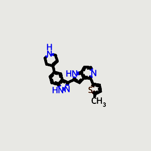 Cc1ccc(-c2nccc3[nH]c(-c4n[nH]c5ccc(C6=CCNCC6)cc45)cc23)s1